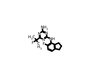 CC(C)(F)c1nc(N)nc(Nc2c(F)ccc3c2CCC3)n1